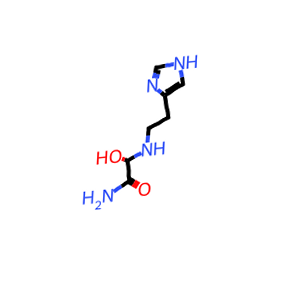 NC(=O)C(O)NCCc1c[nH]cn1